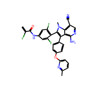 C=C(F)C(=O)Nc1cc(F)c(-c2c(-c3ccc(Oc4cccc(C)n4)cc3)c3c(N)ncc(C#N)c3n2C)c(F)c1